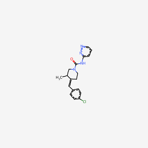 CC1CN(C(=O)Nc2cccnn2)CC/C1=C\c1ccc(Cl)cc1